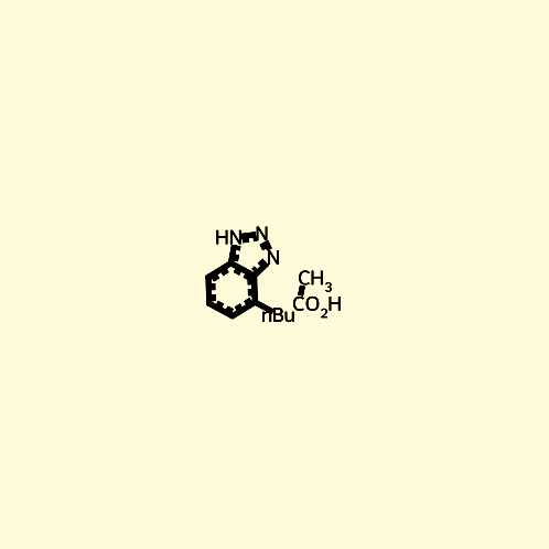 CC(=O)O.CCCCc1cccc2[nH]nnc12